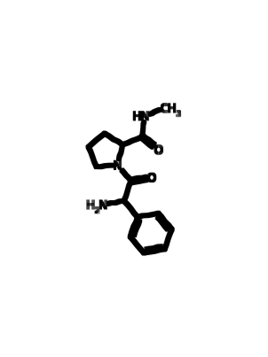 CNC(=O)C1CCCN1C(=O)C(N)c1ccccc1